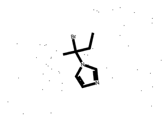 CCC(C)(Br)n1ccnc1